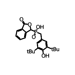 CC(C)(C)c1cc(CP(=O)(O)C2OC(=O)c3ccccc32)cc(C(C)(C)C)c1O